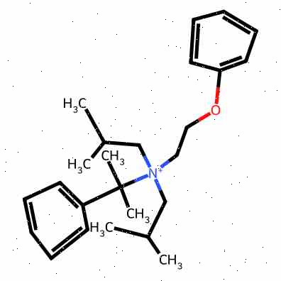 CC(C)C[N+](CCOc1ccccc1)(CC(C)C)C(C)(C)c1ccccc1